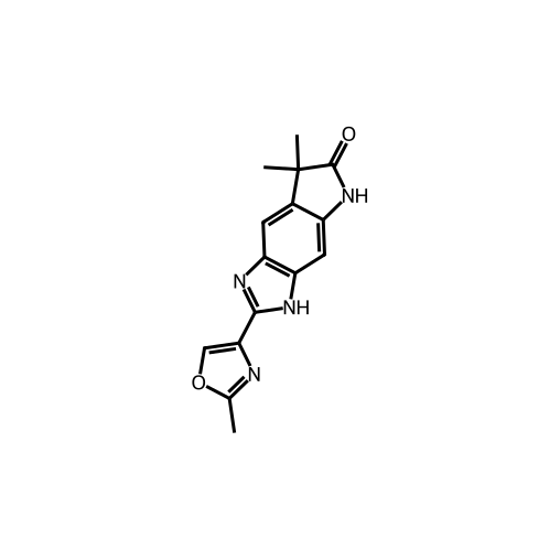 Cc1nc(-c2nc3cc4c(cc3[nH]2)NC(=O)C4(C)C)co1